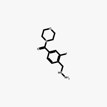 NNCc1ccc(C(=O)N2CCOCC2)cc1F